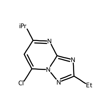 CCc1nc2nc(C(C)C)cc(Cl)n2n1